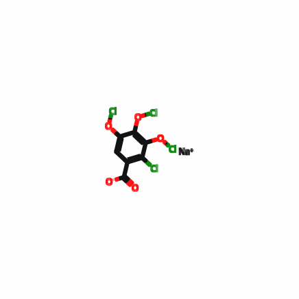 O=C([O-])c1cc(OCl)c(OCl)c(OCl)c1Cl.[Na+]